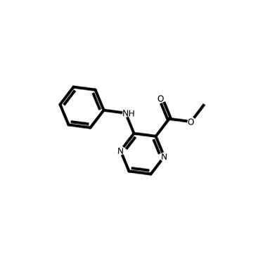 COC(=O)c1nccnc1Nc1ccccc1